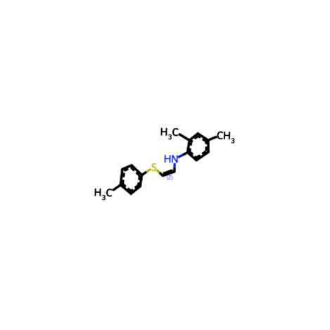 Cc1ccc(S/C=C\Nc2ccc(C)cc2C)cc1